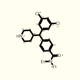 CCN(CC)C(=O)c1ccc(C(c2cc(Cl)cc(Cl)c2)C2CCNCC2)cc1